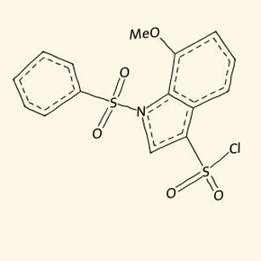 COc1cccc2c(S(=O)(=O)Cl)cn(S(=O)(=O)c3ccccc3)c12